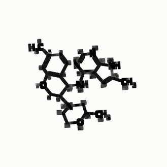 Cc1ccc2c(c1)OCC(N1CCOC(C)C1)C2Nc1ncnc2[nH]c(C)cc12